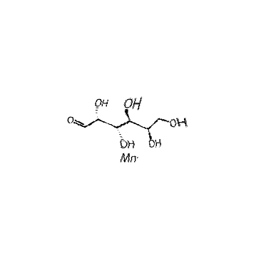 O=C[C@H](O)[C@@H](O)[C@@H](O)[C@H](O)CO.[Mn]